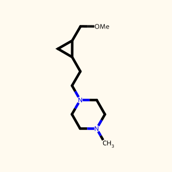 COCC1CC1CCN1CCN(C)CC1